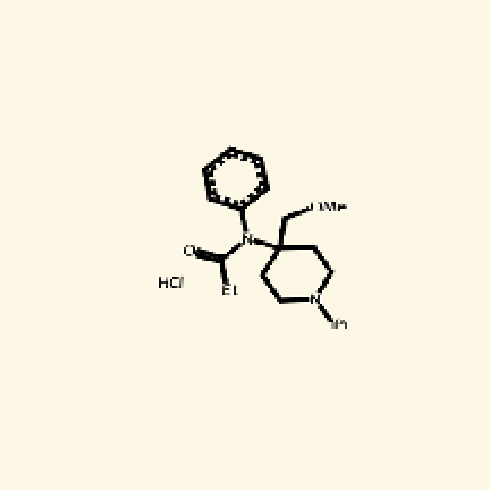 CCC(=O)N(c1ccccc1)C1(COC)CCN(C(C)C)CC1.Cl